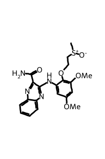 COc1cc(Nc2nc3ccccc3nc2C(N)=O)c(OCC[S+](C)[O-])c(OC)c1